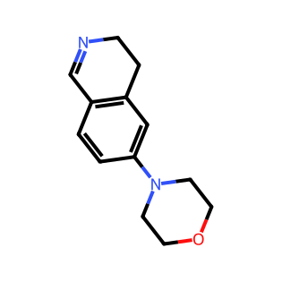 C1=NCCc2cc(N3CCOCC3)ccc21